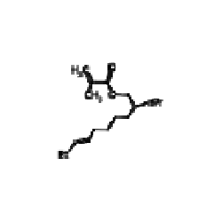 C=C(C)C(=O)OCC(CCC)CCCCC=CCC